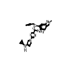 CC#CCOc1cc2nn(C)cc2cc1NC(=O)c1cnc(N2CC[C@@H](NC3CC3)C2)cn1